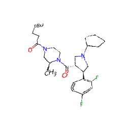 C[C@H]1CN(C(=O)CCC(C)(C)C)CCN1C(=O)[C@@H]1CN(C2CCCC2)C[C@H]1c1ccc(F)cc1F